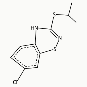 CC(C)SC1=NSc2cc(Cl)ccc2N1